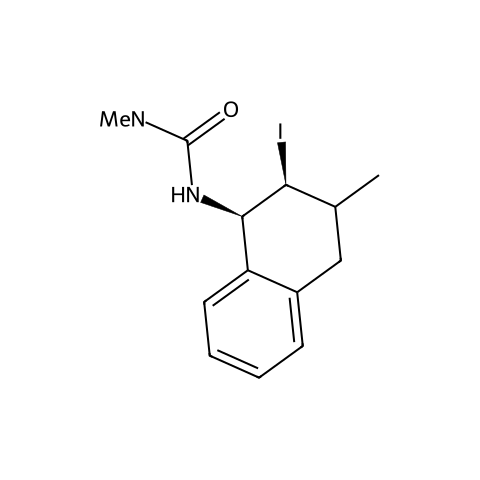 CNC(=O)N[C@@H]1c2ccccc2CC(C)[C@@H]1I